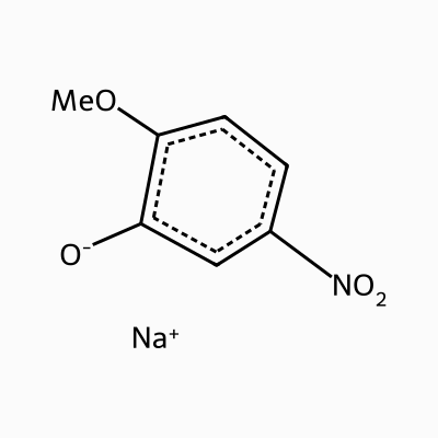 COc1ccc([N+](=O)[O-])cc1[O-].[Na+]